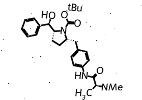 CN[C@@H](C)C(=O)Nc1ccc(C[C@@H]2CC[C@H]([C@H](O)c3ccccc3)N2C(=O)OC(C)(C)C)cc1